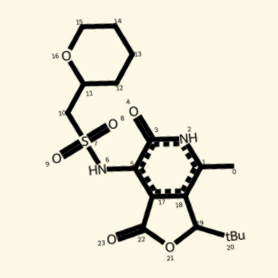 Cc1[nH]c(=O)c(NS(=O)(=O)CC2CCCCO2)c2c1C(C(C)(C)C)OC2=O